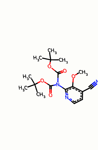 COc1c(C#N)ccnc1N(C(=O)OC(C)(C)C)C(=O)OC(C)(C)C